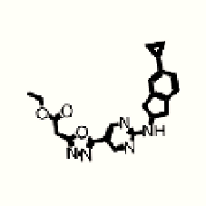 CCOC(=O)Cc1nnc(-c2cnc(NC3Cc4ccc(C5CC5)cc4C3)nc2)o1